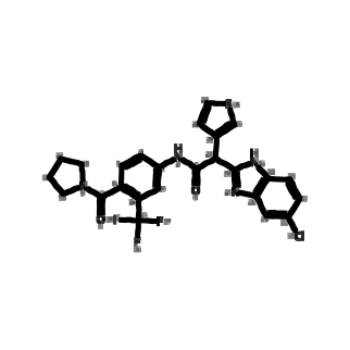 O=C(Nc1ccc(C(=O)N2CCCC2)c(C(F)(F)F)c1)C(c1ccsc1)c1nc2cc(Cl)ccc2[nH]1